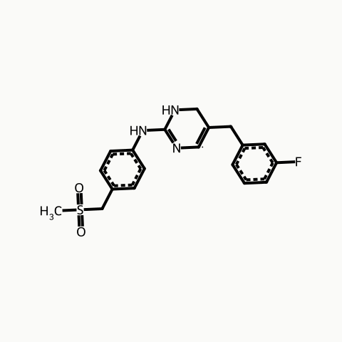 CS(=O)(=O)Cc1ccc(NC2=N[C]=C(Cc3cccc(F)c3)CN2)cc1